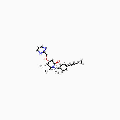 Cc1c(OCc2ncccn2)cc(=O)n([C@H](C)c2ccc(C#CC3CC3)cc2)c1C